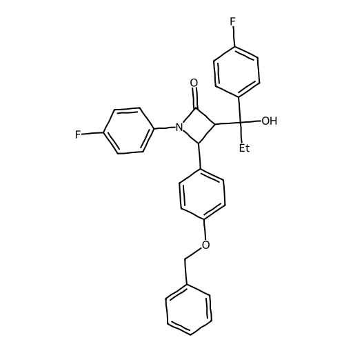 CCC(O)(c1ccc(F)cc1)C1C(=O)N(c2ccc(F)cc2)C1c1ccc(OCc2ccccc2)cc1